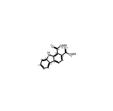 COC(=O)c1ccc2c([nH]c3ccccc32)c1C(=O)OC